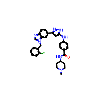 CN1CCC(NC(=O)c2ccc(Nc3cc(-c4ccc5ncn(Cc6ccccc6F)c5c4)n[nH]3)cc2)CC1